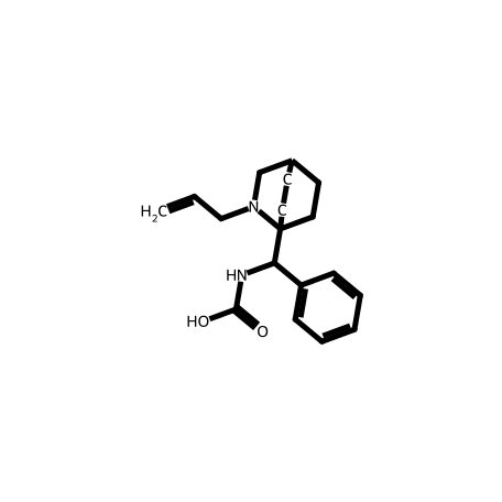 C=CCN1CC2CCC1(C(NC(=O)O)c1ccccc1)CC2